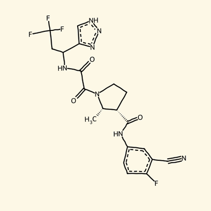 C[C@H]1[C@@H](C(=O)Nc2ccc(F)c(C#N)c2)CCN1C(=O)C(=O)NC(CC(F)(F)F)c1c[nH]nn1